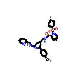 Cc1ccc(-c2cc(CNC(=O)[C@@H]3C=CCN3S(=O)(=O)c3ccc(F)cc3)cc(NCc3ccccn3)n2)cc1